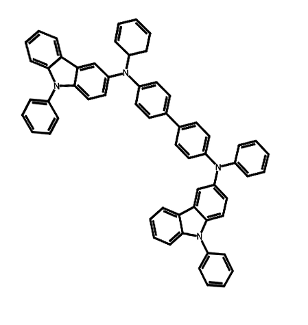 C1=CCC(N(c2ccc(-c3ccc(N(c4ccccc4)c4ccc5c(c4)c4ccccc4n5-c4ccccc4)cc3)cc2)c2ccc3c(c2)c2ccccc2n3-c2ccccc2)C=C1